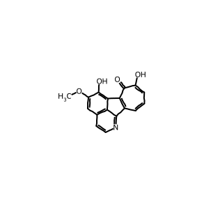 COc1cc2ccnc3c2c(c1O)-c1c-3cccc(O)c1=O